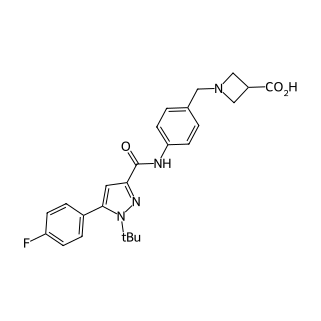 CC(C)(C)n1nc(C(=O)Nc2ccc(CN3CC(C(=O)O)C3)cc2)cc1-c1ccc(F)cc1